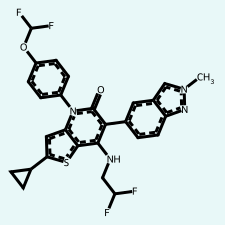 Cn1cc2cc(-c3c(NCC(F)F)c4sc(C5CC5)cc4n(-c4ccc(OC(F)F)cc4)c3=O)ccc2n1